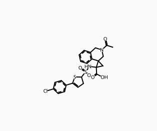 CC(=O)N1Cc2ccccc2C2(C1)CC2(NS(=O)(=O)C1CC=C(c2ccc(Cl)cc2)S1)C(=O)O